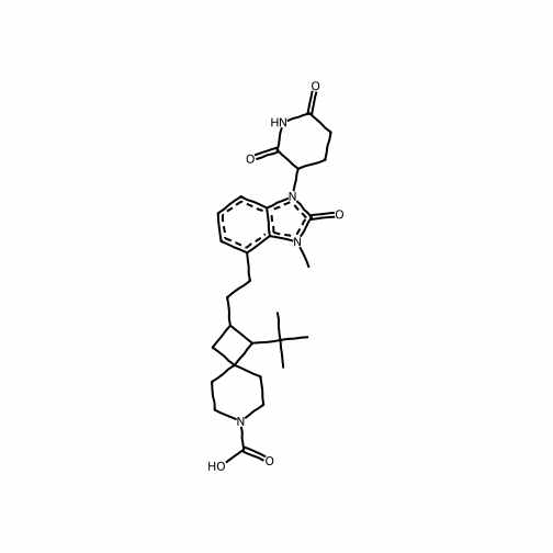 Cn1c(=O)n(C2CCC(=O)NC2=O)c2cccc(CCC3CC4(CCN(C(=O)O)CC4)C3C(C)(C)C)c21